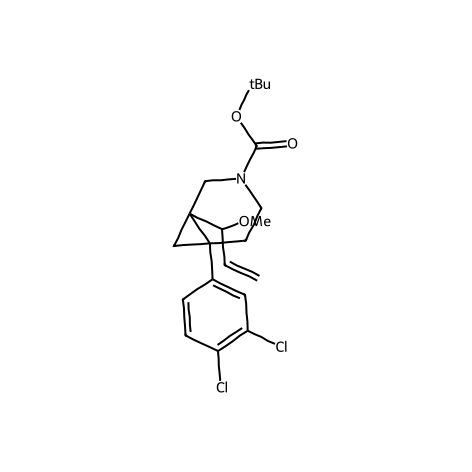 C=CC(OC)C12CN(C(=O)OC(C)(C)C)CCC1(c1ccc(Cl)c(Cl)c1)C2